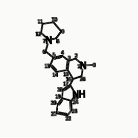 CN1Cc2cc(CN3CCCCC3)ccc2C(c2cc3ccccc3[nH]2)C1